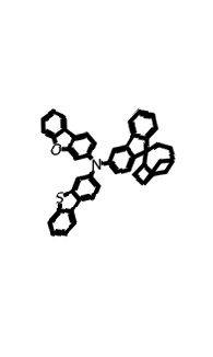 c1ccc2c(c1)-c1cc(N(c3ccc4c(c3)oc3ccccc34)c3ccc4c(c3)sc3ccccc34)ccc1C21CCC2CC3CC1C3C2